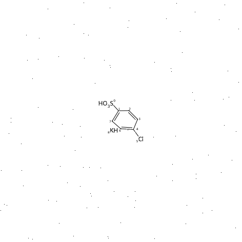 O=S(=O)(O)c1ccc(Cl)cc1.[KH]